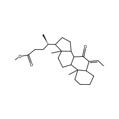 C/C=C1/C(=O)C2C(CCC3(C)C2CCC3[C@H](C)CCC(=O)OC)C2(C)CCCCC12